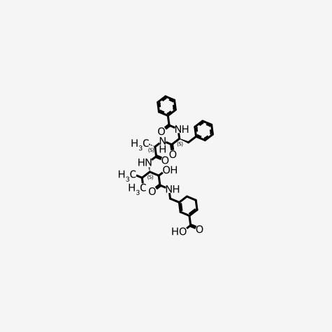 CC(C)[C@H](NC(=O)[C@H](C)NC(=O)[C@H](Cc1ccccc1)NC(=O)c1ccccc1)C(O)C(=O)NCC1=CC(C(=O)O)=CCC1